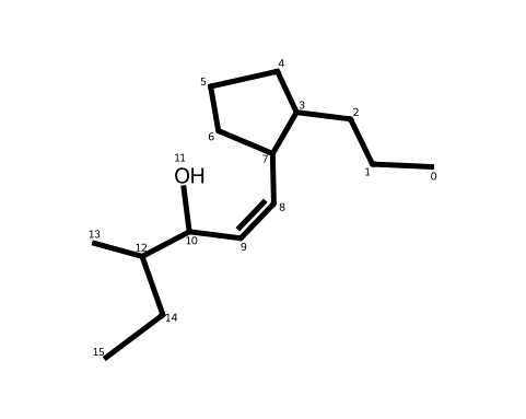 CCCC1CCCC1/C=C\C(O)C(C)CC